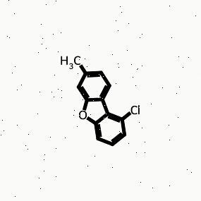 Cc1ccc2c(c1)oc1cccc(Cl)c12